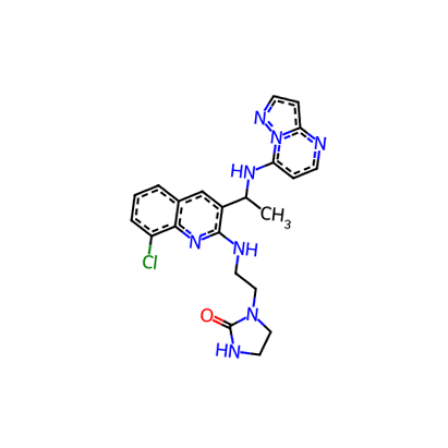 CC(Nc1ccnc2ccnn12)c1cc2cccc(Cl)c2nc1NCCN1CCNC1=O